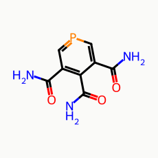 NC(=O)c1cpcc(C(N)=O)c1C(N)=O